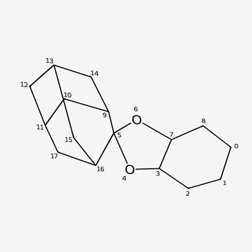 C1CCC2OC3(OC2C1)C1CC2CC(C1)CC3C2